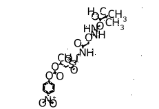 CC(CS(=O)(=O)CCNC(=O)CONNOC(=O)C(C)(C)C)OC(=O)Oc1ccc([N+](=O)[O-])cc1